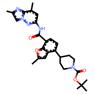 Cc1cn2nc(NC(=O)c3ccc(C4CCN(C(=O)OC(C)(C)C)CC4)c4cc(C)oc34)cc(C)c2n1